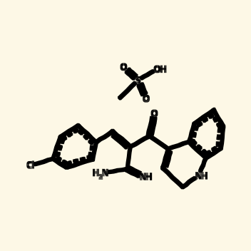 CS(=O)(=O)O.N=C(N)/C(=C\c1ccc(Cl)cc1)C(=O)C1=CCNc2ccccc21